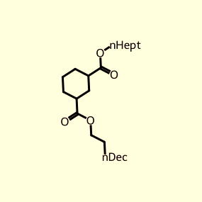 CCCCCCCCCCCCOC(=O)C1CCCC(C(=O)OCCCCCCC)C1